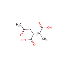 CC(=O)C/C(C(=O)O)=C(/C)C(=O)O